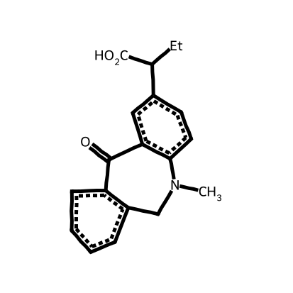 CCC(C(=O)O)c1ccc2c(c1)C(=O)c1ccccc1CN2C